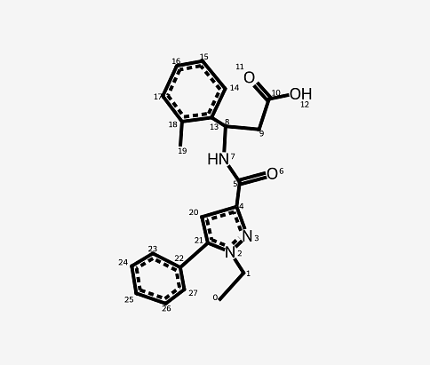 CCn1nc(C(=O)NC(CC(=O)O)c2ccccc2C)cc1-c1ccccc1